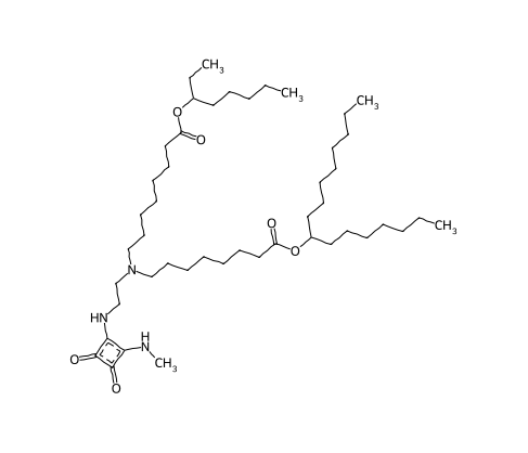 CCCCCCCCC(CCCCCCC)OC(=O)CCCCCCCN(CCCCCCCC(=O)OC(CC)CCCCC)CCNc1c(NC)c(=O)c1=O